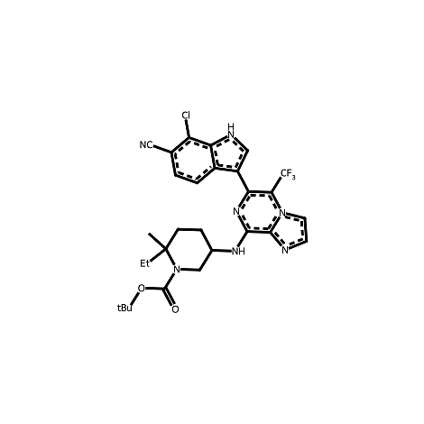 CCC1(C)CCC(Nc2nc(-c3c[nH]c4c(Cl)c(C#N)ccc34)c(C(F)(F)F)n3ccnc23)CN1C(=O)OC(C)(C)C